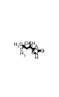 CC(CC(C)(C)C)c1n[nH]c(=O)o1